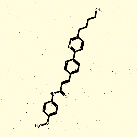 CCCCCc1ccc(-c2ccc(/C=C/C(=O)Nc3ccc(OC)cc3)cc2)nc1